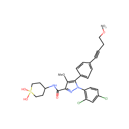 COc1c(C(=O)NC2CCS(O)(O)CC2)nn(-c2ccc(Cl)cc2Cl)c1-c1ccc(C#CCCO[N+](=O)[O-])cc1